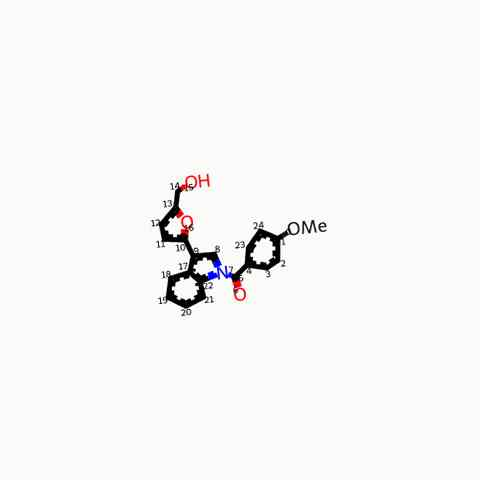 COc1ccc(C(=O)n2cc(-c3ccc(CO)o3)c3ccccc32)cc1